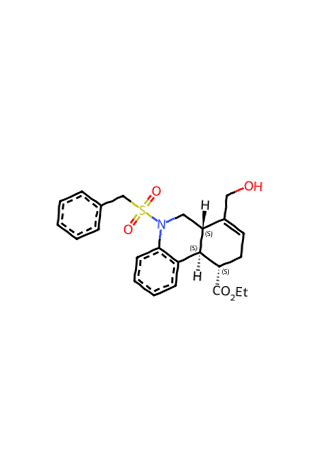 CCOC(=O)[C@H]1CC=C(CO)[C@H]2CN(S(=O)(=O)Cc3ccccc3)c3ccccc3[C@H]12